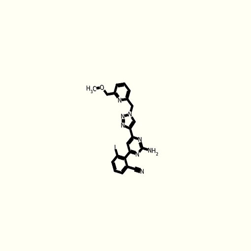 COCc1cccc(Cn2cc(-c3cc(-c4c(I)cccc4C#N)nc(N)n3)nn2)n1